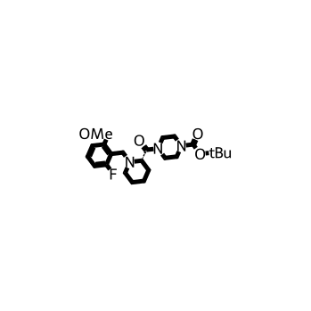 COc1cccc(F)c1CN1CCCC[C@H]1C(=O)N1CCN(C(=O)OC(C)(C)C)CC1